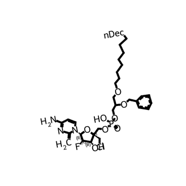 C=C1N=C(N)C=CN1[C@@H]1O[C@](CCl)(COP(=O)(O)OCC(COCCCCCCCCCCCCCCCCCC)OCc2ccccc2)[C@@H](O)[C@H]1F